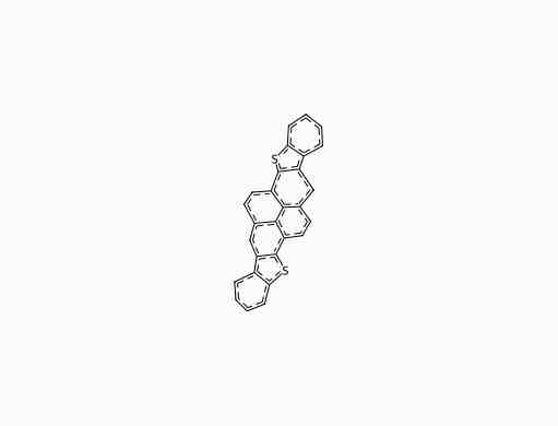 c1ccc2c(c1)sc1c2cc2ccc3c4sc5ccccc5c4cc4ccc1c2c43